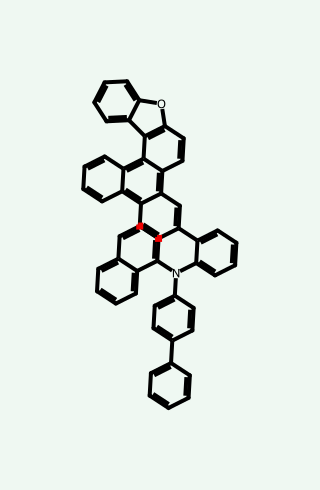 c1ccc(-c2ccc(N(c3ccccc3-c3ccc4c5ccccc5c5c(ccc6oc7ccccc7c65)c4c3)c3cccc4ccccc34)cc2)cc1